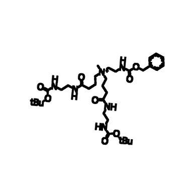 CC(C)(C)OC(=O)NCCNC(=O)CCC[N+](C)(CCCC(=O)NCCNC(=O)OC(C)(C)C)CCNC(=O)OCc1ccccc1